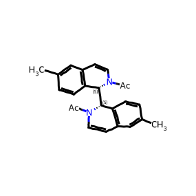 CC(=O)N1C=Cc2cc(C)ccc2[C@H]1[C@@H]1c2ccc(C)cc2C=CN1C(C)=O